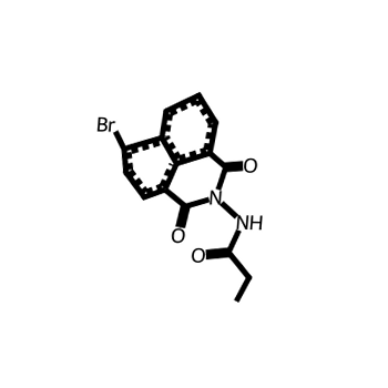 CCC(=O)NN1C(=O)c2cccc3c(Br)ccc(c23)C1=O